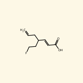 C=CCC(/C=C/C(=O)O)CCF